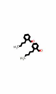 CCCCCc1ccccc1C=O.CCCCc1ccccc1C=O